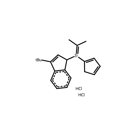 C[C](C)=[Zr]([C]1=CC=CC1)[CH]1C=C(C(C)(C)C)c2ccccc21.Cl.Cl